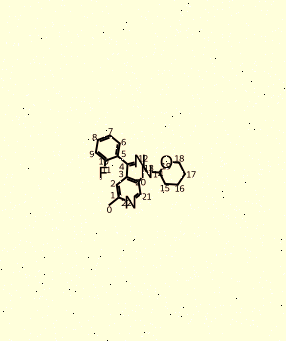 Cc1cc2c(-c3ccccc3F)nn(C3CCCCO3)c2cn1